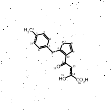 Cc1ccc(Cc2sccc2C(=O)C=C(O)C(=O)O)cc1